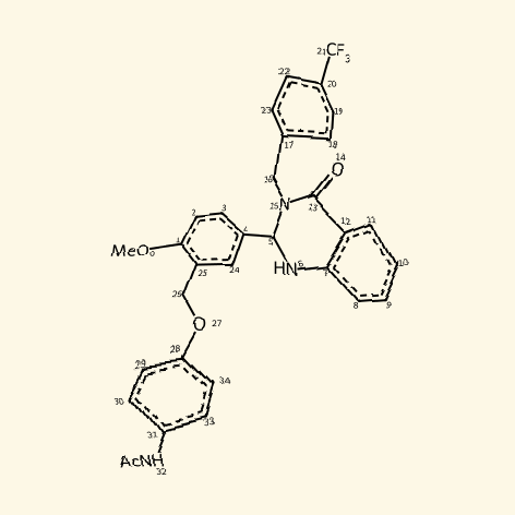 COc1ccc(C2Nc3ccccc3C(=O)N2Cc2ccc(C(F)(F)F)cc2)cc1COc1ccc(NC(C)=O)cc1